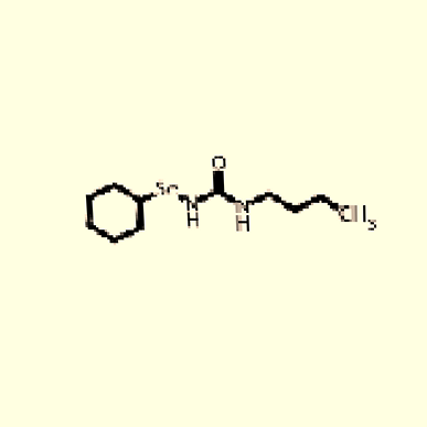 CCCCNC(=O)N[Se]C1CCCCC1